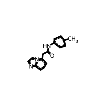 Cc1ccc(NC(=O)Cc2cccc3nccn23)cc1